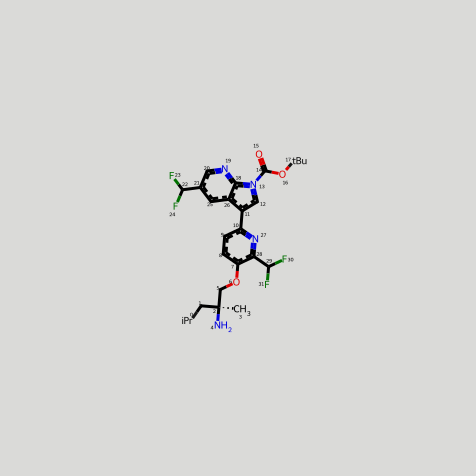 CC(C)C[C@](C)(N)COc1ccc(-c2cn(C(=O)OC(C)(C)C)c3ncc(C(F)F)cc23)nc1C(F)F